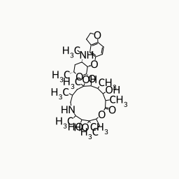 CCC1OC(=O)C(C)C(O)C(C)C(O[C@@H]2O[C@H](C)C[C@H](NC)[C@H]2Oc2ccc3c(c2)CCO3)C(C)(O)CC(C)CNC(C)C(O)C1(C)O